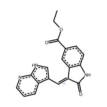 CCOC(=O)c1ccc2c(c1)/C(=C\c1c[nH]c3ncccc13)C(=O)N2